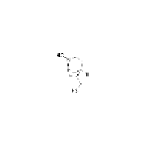 ON1CC[C@@H]2CC1CC2CS